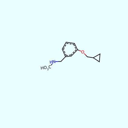 O=C(O)NCc1cccc(OCC2CC2)c1